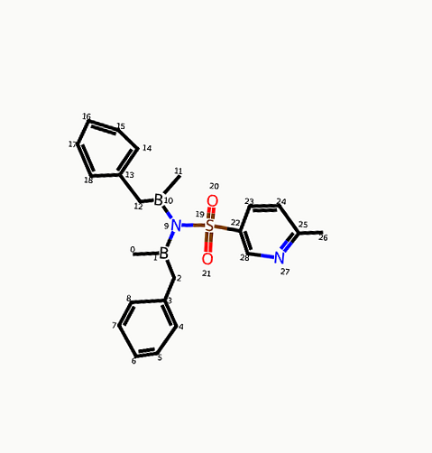 CB(Cc1ccccc1)N(B(C)Cc1ccccc1)S(=O)(=O)c1ccc(C)nc1